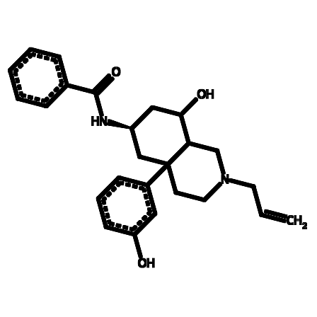 C=CCN1CCC2(c3cccc(O)c3)C[C@@H](NC(=O)c3ccccc3)CC(O)C2C1